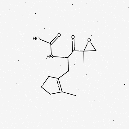 CC1=C(CC(NC(=O)O)C(=O)C2(C)CO2)CCC1